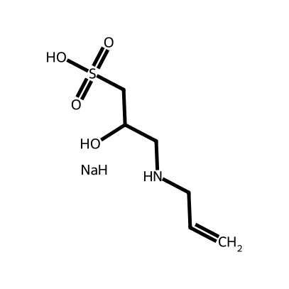 C=CCNCC(O)CS(=O)(=O)O.[NaH]